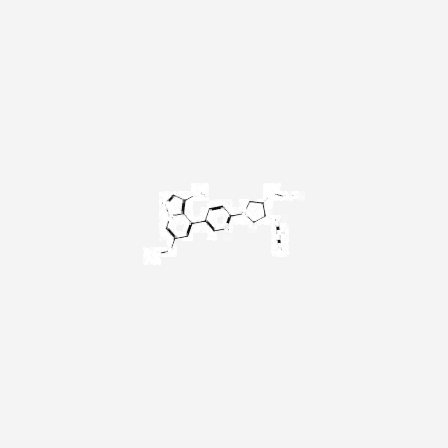 CCCO[C@@H]1CN(c2ccc(-c3cc(OCC)cn4ncc(C#N)c34)cn2)C[C@H]1N=[N+]=[N-]